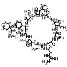 CC[C@H](C)C1NC(=O)[C@@H](CCCNC(=N)N)NC(=O)[C@H](CC(C)C)NC(=O)[C@H]([C@H](O)C(C)C)NC(=O)[C@@H](NC(=O)[C@H](CC(C)C)NC(=O)C2(N)CCOCC2)[C@@H](c2ccccc2)OC(=O)[C@H](CO)NC(=O)[C@H]([C@H](O)C(N)=O)NC(=O)CNC(=O)C([C@H](C)O)NC1=O